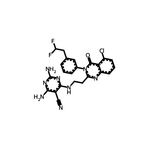 N#Cc1c(N)nc(N)nc1NCCc1nc2cccc(Cl)c2c(=O)n1-c1cccc(CC(F)F)c1